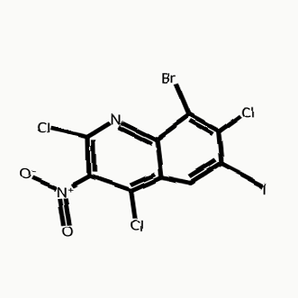 O=[N+]([O-])c1c(Cl)nc2c(Br)c(Cl)c(I)cc2c1Cl